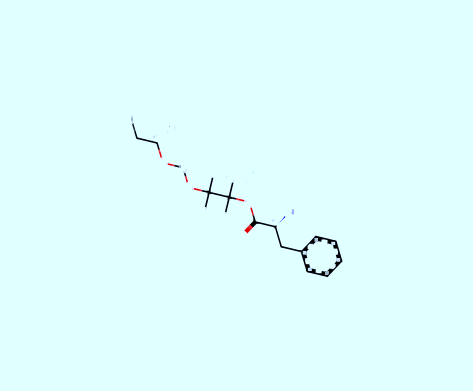 CC(C)C[C@H](N)OBOC(C)(C)C(C)(C)OC(=O)[C@@H](N)Cc1ccccc1.Cl